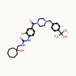 O=C(NCC1(O)CCCCCC1)Nc1ccc(C(=O)N2CCN(Cc3ccc(C(O)(C(F)(F)F)C(F)(F)F)cc3)CC2)cc1F